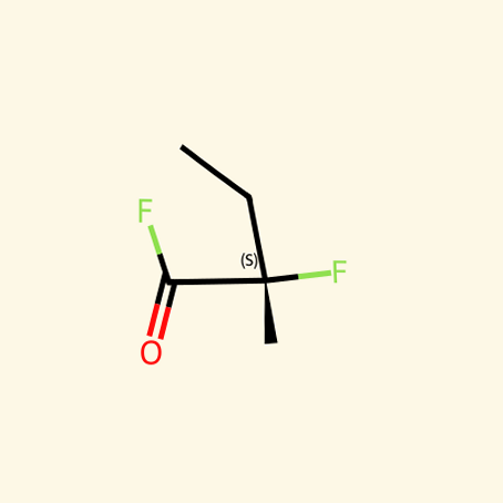 CC[C@](C)(F)C(=O)F